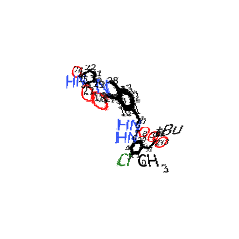 Cc1c(Cl)cc(NC(=O)NCc2ccc3c(c2)C(=O)N(C2CCC(=O)NC2=O)C3)cc1CC(=O)OC(C)(C)C